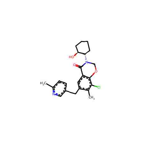 Cc1ccc(Cc2cc3c(c(Cl)c2C)OCN([C@H]2CCCC[C@@H]2O)C3=O)cn1